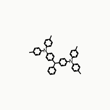 Cc1ccc(N(c2ccc(C)cc2)c2ccc(C(c3ccccc3)c3ccc(N(c4ccc(C)cc4)c4ccc(C)cc4)cc3)cc2)cc1